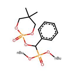 CCCCOP(=O)(OCCCC)C(OP1(=O)OCC(C)(C)CO1)c1ccccc1